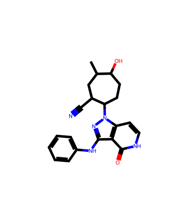 CC1CC(C#N)C(n2nc(Nc3ccccc3)c3c(=O)[nH]ccc32)CCC1O